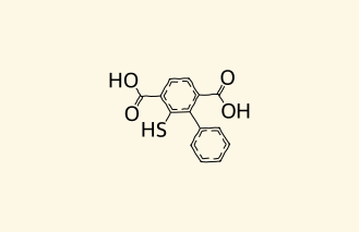 O=C(O)c1ccc(C(=O)O)c(-c2ccccc2)c1S